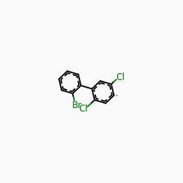 Clc1[c]cc(Cl)c(-c2ccccc2Br)c1